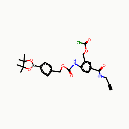 C#CCNC(=O)c1ccc(NC(=O)OCc2ccc(B3OC(C)(C)C(C)(C)O3)cc2)c(COC(=O)Cl)c1